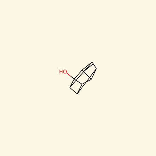 OC12C3=C4C5C3C1C5C42